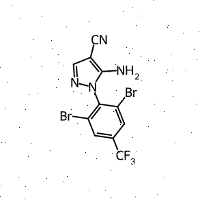 N#Cc1cnn(-c2c(Br)cc(C(F)(F)F)cc2Br)c1N